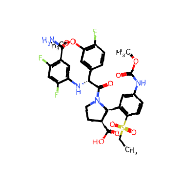 CCS(=O)(=O)c1ccc(NC(=O)OC)cc1[C@H]1[C@@H](C(=O)O)CCN1C(=O)[C@H](Nc1cc(C(N)=O)c(F)cc1F)c1ccc(F)c(OC)c1